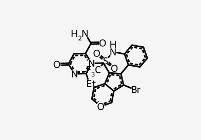 CCc1nc(=O)cc(C(N)=O)n1Cc1c2ccocc-2c(Br)c1-c1ccccc1NS(=O)(=O)C(F)(F)F